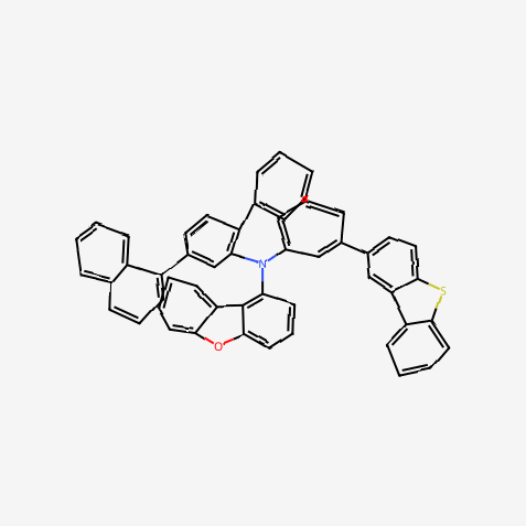 c1ccc(-c2ccc(-c3cccc4ccccc34)cc2N(c2cccc(-c3ccc4sc5ccccc5c4c3)c2)c2cccc3oc4ccccc4c23)cc1